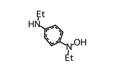 CCNc1ccc(N(O)CC)cc1